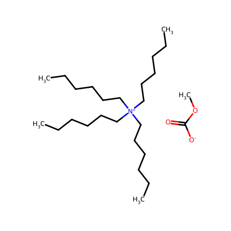 CCCCCC[N+](CCCCCC)(CCCCCC)CCCCCC.COC(=O)[O-]